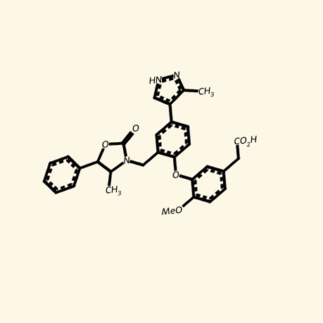 COc1ccc(CC(=O)O)cc1Oc1ccc(-c2c[nH]nc2C)cc1CN1C(=O)OC(c2ccccc2)C1C